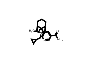 COC1(c2cncc(C(N)=O)c2)C2CCCC1CN(CC1CC1)C2